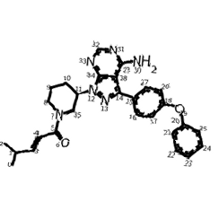 CC(C)/C=C/C(=O)N1CCC[C@@H](n2nc(-c3ccc(Oc4ccccc4)cc3)c3c(N)ncnc32)C1